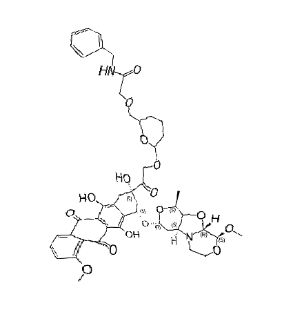 COc1cccc2c1C(=O)c1c(O)c3c(c(O)c1C2=O)C[C@@](O)(C(=O)COC1CCCC(COCC(=O)NCc2ccccc2)O1)C[C@@H]3O[C@H]1C[C@H]2C(O[C@@H]3[C@@H](OC)OCCN32)[C@H](C)O1